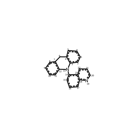 c1ccc2c(c1)Cc1ccccc1N2c1cccc2ncccc12